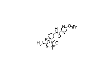 CCCOc1cnc(C(=O)Nc2ccc(F)c([C@]34COC[C@@]3(F)CSC(N)=N4)c2)cn1